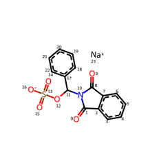 O=C1c2ccccc2C(=O)N1C(OS(=O)(=O)[O-])c1ccccc1.[Na+]